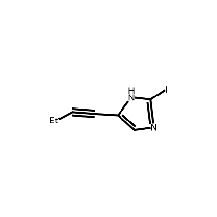 CCC#Cc1cnc(I)[nH]1